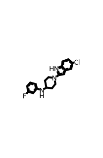 Fc1cccc(NC2CCN(c3cc4cc(Cl)ccc4[nH]3)CC2)c1